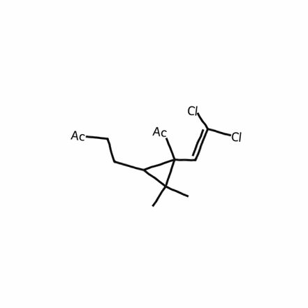 CC(=O)CCC1C(C)(C)C1(C=C(Cl)Cl)C(C)=O